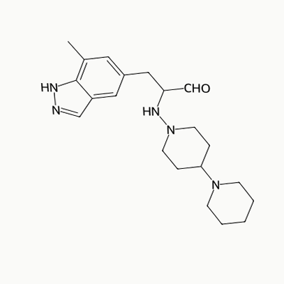 Cc1cc(CC(C=O)NN2CCC(N3CCCCC3)CC2)cc2cn[nH]c12